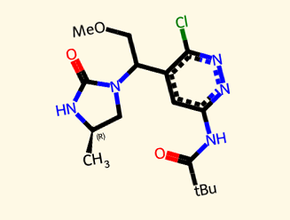 COCC(c1cc(NC(=O)C(C)(C)C)nnc1Cl)N1C[C@@H](C)NC1=O